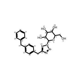 OCC1OC(n2nnc(Cc3ccc(Cc4ccccc4)cc3)n2)C(O)C(O)C1O